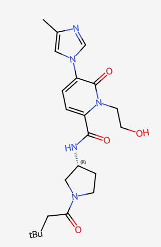 Cc1cn(-c2ccc(C(=O)N[C@@H]3CCN(C(=O)CC(C)(C)C)C3)n(CCO)c2=O)cn1